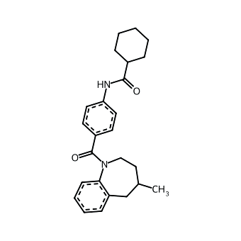 CC1CCN(C(=O)c2ccc(NC(=O)C3CCCCC3)cc2)c2ccccc2C1